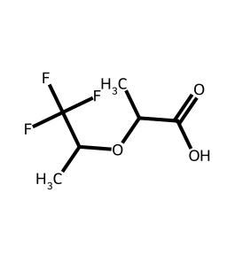 CC(OC(C)C(F)(F)F)C(=O)O